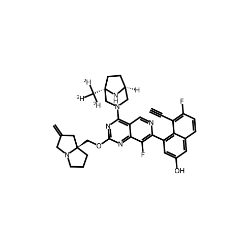 [2H]C([2H])([2H])[C@@]12CC[C@@H](CN(c3nc(OC[C@@]45CCCN4CC(=C)C5)nc4c(F)c(-c5cc(O)cc6ccc(F)c(C#C)c56)ncc34)C1)N2